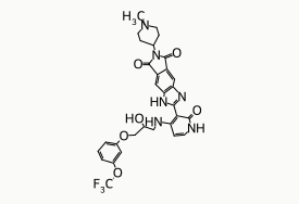 CN1CCC(N2C(=O)c3cc4nc(-c5c(NCC(O)COc6cccc(OC(F)(F)F)c6)cc[nH]c5=O)[nH]c4cc3C2=O)CC1